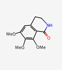 COc1cc2c(c(OC)c1OC)C(=O)NCC2